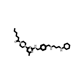 CCCCCC(=O)N1CCN(c2cc(C)nc(NCc3ccc(CNCCCNC4CCCCC4)cc3)n2)CC1